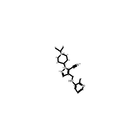 Cc1ncccc1NCc1cnn(C2CCN(C(C)C)CC2)c1C#N